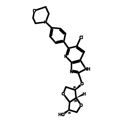 O[C@@H]1CO[C@H]2C1OC[C@H]2Oc1nc2nc(-c3ccc(N4CCOCC4)cc3)c(Cl)cc2[nH]1